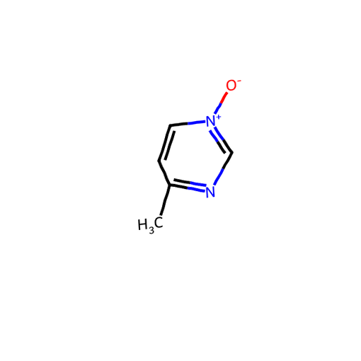 Cc1cc[n+]([O-])cn1